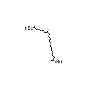 [CH2]CCCC(C)CCCCCCC/C=C/CCC(C)CCCCCC(C)CCC[CH2]